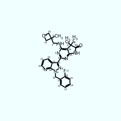 CC1(CNc2nc(-c3nn(Cc4ccccc4F)c4ncccc34)nc3c2C(C)(C)C(=O)N3)COC1